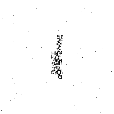 O=C(CO[C@H]1C[C@@H](OC(F)(F)F)C1)N[C@@H]1C[C@@H]2C[C@H]1C[C@H]2NC(=O)[C@H]1CC(=O)c2cc(Cl)ccc2O1